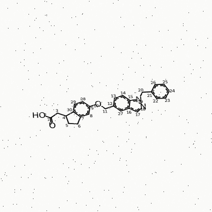 O=C(O)CC1CCc2cc(OCc3ccc4c(cnn4Cc4ccccc4)c3)ccc21